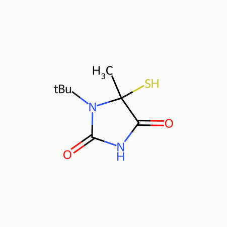 CC(C)(C)N1C(=O)NC(=O)C1(C)S